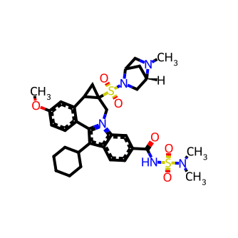 COc1ccc2c(c1)C1CC1(S(=O)(=O)N1C[C@@H]3CC1CN3C)Cn1c-2c(C2CCCCC2)c2ccc(C(=O)NS(=O)(=O)N(C)C)cc21